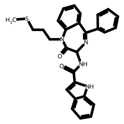 CSCCCN1C(=O)C(NC(=O)c2cc3ccccc3[nH]2)N=C(c2ccccc2)c2ccccc21